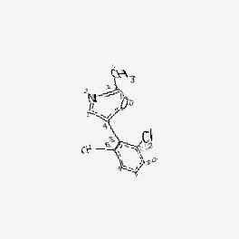 Cc1ncc(-c2c(Cl)cccc2Cl)o1